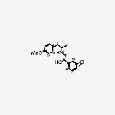 COc1ccc(CC(C)NC[C@H](O)c2cccc(Cl)c2)cc1